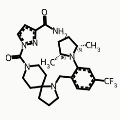 C[C@@H]1CC[C@H](C)N1c1cc(C(F)(F)F)ccc1CN1CCCC12CCN(C(=O)n1ccc(C(N)=O)n1)CC2